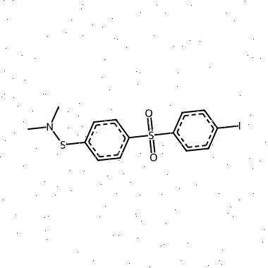 CN(C)Sc1ccc(S(=O)(=O)c2ccc(I)cc2)cc1